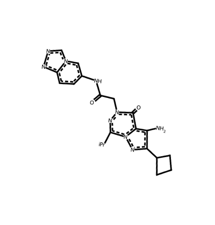 CC(C)c1nn(CC(=O)Nc2ccc3nncn3c2)c(=O)c2c(N)c(C3CCC3)nn12